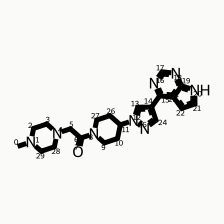 CN1CCN(CC(=O)N2CCC(n3cc(-c4ncnc5[nH]ccc45)cn3)CC2)CC1